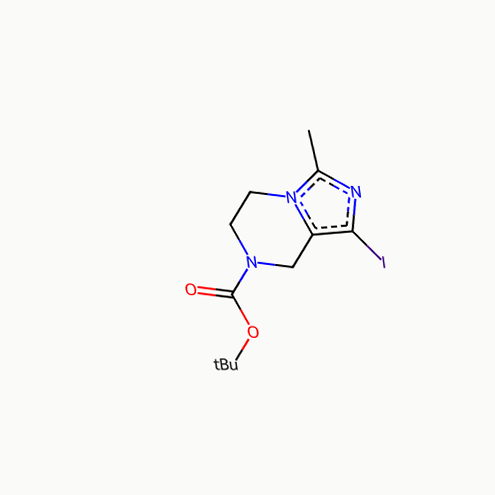 Cc1nc(I)c2n1CCN(C(=O)OC(C)(C)C)C2